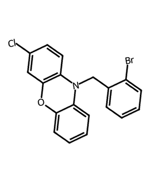 Clc1ccc2c(c1)Oc1ccccc1N2Cc1ccccc1Br